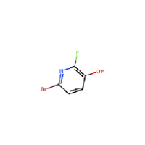 Oc1ccc(Br)nc1F